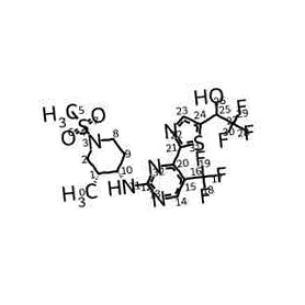 C[C@@H]1CN(S(C)(=O)=O)CC[C@@H]1Nc1ncc(C(F)(F)F)c(-c2ncc(C(O)C(F)(F)F)s2)n1